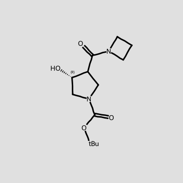 CC(C)(C)OC(=O)N1CC(C(=O)N2CCC2)[C@@H](O)C1